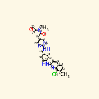 Cc1ccc2ccc(N[C@H]3CC[C@H](CNc4ncc(CC(=O)N(C)C5COC5)cn4)CC3)nc2c1Cl